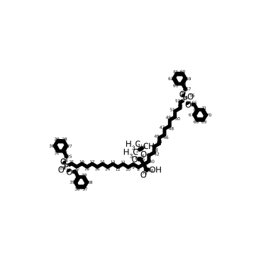 CC(C)(C)OC(=O)C(CCCCCCCCCCCCCCP(=O)(OCc1ccccc1)OCc1ccccc1)(CCCCCCCCCCCCCCP(=O)(OCc1ccccc1)OCc1ccccc1)C(=O)O